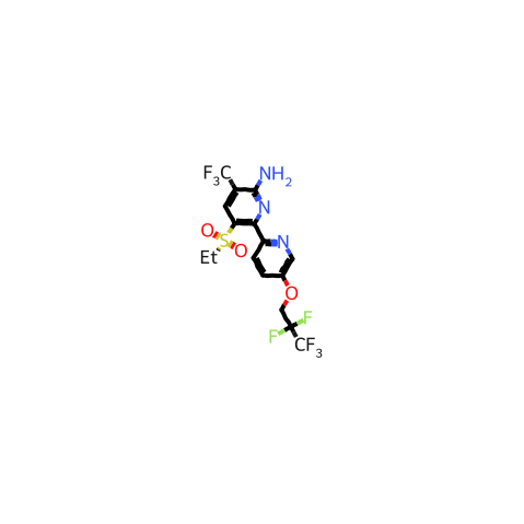 CCS(=O)(=O)c1cc(C(F)(F)F)c(N)nc1-c1ccc(OCC(F)(F)C(F)(F)F)cn1